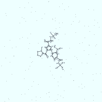 CC1CCCN1C(=O)c1nc(C(=O)NCC(C)(C)O)sc1-c1cnc(NCC(F)(F)F)cc1C(F)F